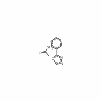 CC(N)=O.c1ccc(-c2nnco2)cc1